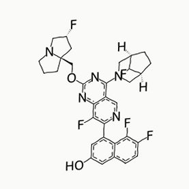 Oc1cc(-c2ncc3c(N4C[C@H]5CC[C@@H](C4)C5F)nc(OC[C@@]45CCCN4C[C@H](F)C5)nc3c2F)c2c(F)c(F)ccc2c1